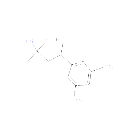 COc1cc(OC)cc(C(C)CC(C)(N)C(=O)O)c1